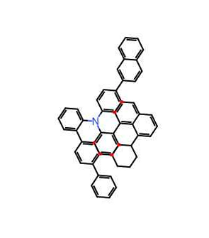 c1ccc(-c2ccc(-c3ccccc3N(c3ccc(-c4ccc5ccccc5c4)cc3)c3ccccc3-c3cccc4cccc(C5CCCCC5)c34)cc2)cc1